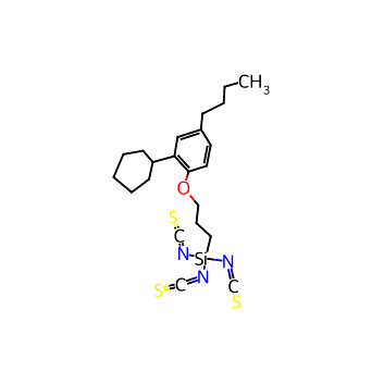 CCCCc1ccc(OCCC[Si](N=C=S)(N=C=S)N=C=S)c(C2CCCCC2)c1